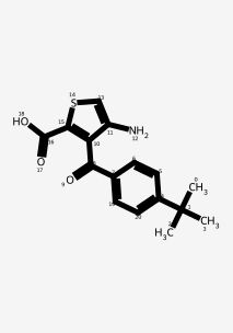 CC(C)(C)c1ccc(C(=O)c2c(N)csc2C(=O)O)cc1